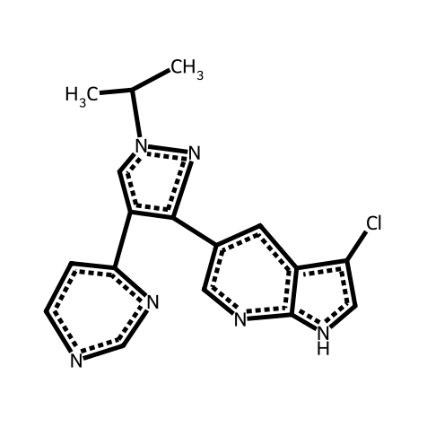 CC(C)n1cc(-c2ccncn2)c(-c2cnc3[nH]cc(Cl)c3c2)n1